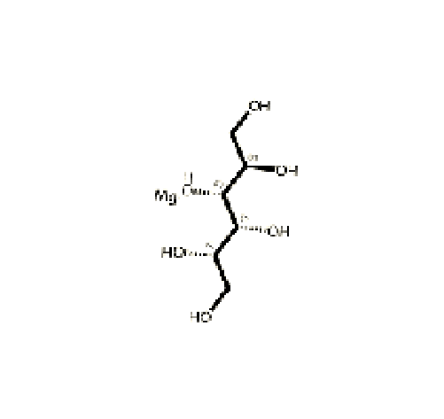 OC[C@@H](O)[C@@H](O)[C@H](O)[C@@H](O)CO.[Mg]